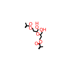 C=C(C)C(=O)OCCC(CO)OC(CO)CCOC(=O)C(=C)C